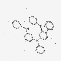 c1ccc(Nc2cccc(N(c3ccccc3)c3ccc4c5ccccc5n(-c5ccccc5)c4c3)c2)cc1